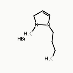 Br.CCCCN1C=CCN1C